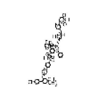 CC1(C)CCC(c2ccc(Cl)cc2)=C(CN2CCN(c3ccc(C(=O)NS(=O)(=O)c4ccc(N[C@H](CCN5C[C@H]6C[C@@H]5CN6Cc5ccnc(N6CCC(=O)NC6=O)c5)CSc5ccccc5)c(S(=O)(=O)C(F)(F)F)c4)cc3)CC2)C1